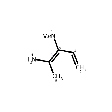 C=C/C(NC)=C(\C)N